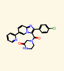 O=C1CN(C(=O)c2c(-c3ccc(Cl)cc3)nc3ccc(-c4ccccn4)cn23)CCN1